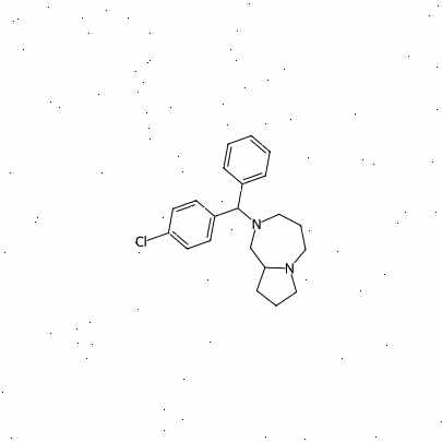 Clc1ccc(C(c2ccccc2)N2CCCN3CCCC3C2)cc1